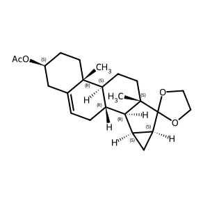 CC(=O)O[C@H]1CC[C@@]2(C)C(=CC[C@H]3[C@@H]4[C@@H]5C[C@@H]5C5(OCCO5)[C@@]4(C)CC[C@@H]32)C1